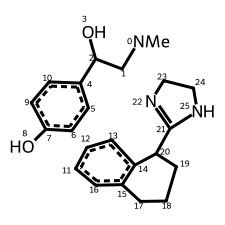 CNCC(O)c1ccc(O)cc1.c1ccc2c(c1)CCCC2C1=NCCN1